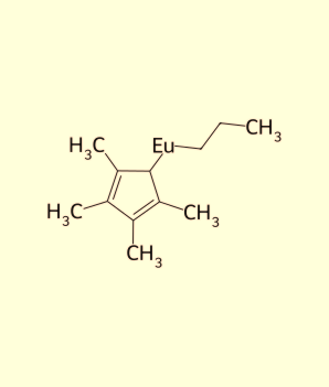 CC[CH2][Eu][CH]1C(C)=C(C)C(C)=C1C